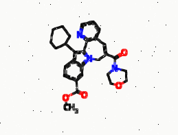 COC(=O)c1ccc2c(C3CCCCC3)c3n(c2c1)CC(C(=O)N1CCOCC1)=Cc1cccnc1-3